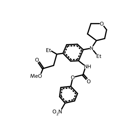 CCC(CC(=O)OC)c1ccc(N(CC)C2CCOCC2)c(NC(=O)Oc2ccc([N+](=O)[O-])cc2)c1